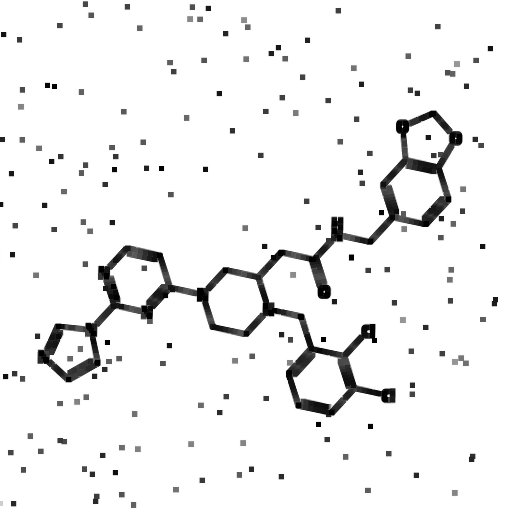 O=C(CC1CN(c2ccnc(-n3ccnc3)n2)CCN1Cc1cccc(Cl)c1Cl)NCc1ccc2c(c1)OCO2